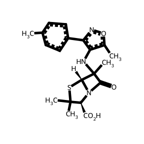 Cc1ccc(-c2noc(C)c2NC2(C)C(=O)N3[C@@H](C(=O)O)C(C)(C)S[C@@H]32)cc1